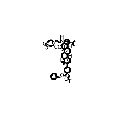 C=C(C)[C@@H]1CC[C@]2(NCCN3CCS(=O)(=O)CC3C(=O)OCC)CC[C@]3(C)[C@H](CC[C@@H]4[C@@]5(C)CC=C(C6=CC[C@@](CCF)(C(=O)OCc7ccccc7)CC6)C(C)(C)[C@@H]5CC[C@]43C)[C@@H]12